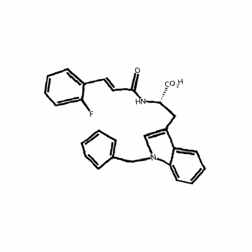 O=C(/C=C/c1ccccc1F)N[C@@H](Cc1cn(Cc2ccccc2)c2ccccc12)C(=O)O